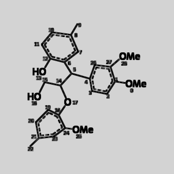 COc1ccc(C(c2cc(C)ccc2O)C(CO)Oc2ccc(C)cc2OC)cc1OC